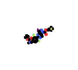 CN(Cc1cc(F)c(-c2ncc3c(n2)c(I)nn3C(=O)OCCS(C)(C)C)c(F)c1)C(=O)OC(C)(C)C